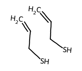 C=CCS.C=CCS